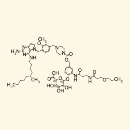 CCCCCC(C)CCCCNc1nc(N)nc2ccn(Cc3ccc(CN4CCN(C(=O)OCc5ccc(O[C@@H]6O[C@H](C(=O)O)[C@@H](O)[C@H](O)[C@H]6O)c(NC(=O)CCNC(=O)CCOCCC)c5)CC4)cc3OC)c12